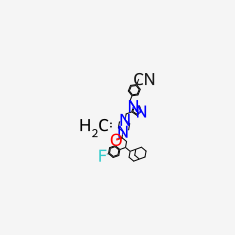 N#Cc1ccc(Cn2cncc2CN2CCN(C(=O)CC(c3ccc(F)cc3)C3CCC4CCCC3C4)CC2)cc1.[CH2]